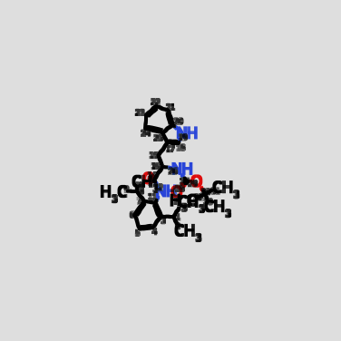 CC(C)c1cccc(C(C)C)c1NC(=O)C(Cc1c[nH]c2ccccc12)NC(=O)OC(C)(C)C